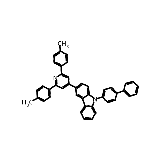 Cc1ccc(-c2cc(-c3ccc4c(c3)c3ccccc3n4-c3ccc(-c4ccccc4)cc3)cc(-c3ccc(C)cc3)n2)cc1